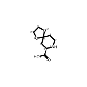 O=C(O)[C@H]1CC2(CCN1)OCCO2